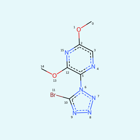 COc1cnc(-n2nnnc2Br)c(OC)n1